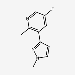 Cc1ncc(F)cc1-c1ccn(C)n1